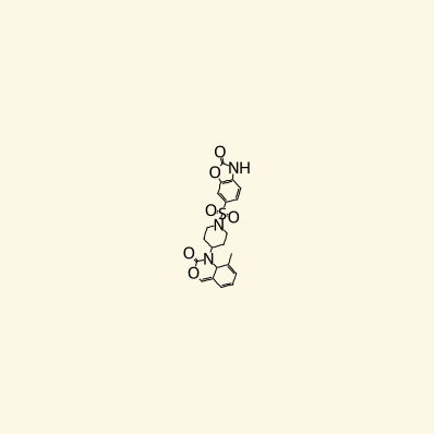 CC1=CC=CC2=COC(=O)N(C3CCN(S(=O)(=O)c4ccc5[nH]c(=O)oc5c4)CC3)C12